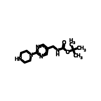 CC(C)(C)OC(=O)NCc1cnc(N2CCNCC2)nc1